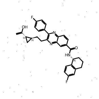 C=C(O)[C@H]1C[C@@H]1CCc1nc2cc(C(=O)N[C@@H]3CCCc4cc(F)ccc43)ccc2nc1-c1ccc(F)cc1